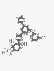 CC1(C)CC(O)(c2ncc(-c3cc(Nc4nccc(C(F)(F)F)n4)cc(-c4cccs4)c3)s2)CCC1C(=O)O